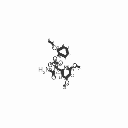 CCOc1ccccc1OS(=O)(=O)N(C(N)=O)c1cc(OC)cc(OC)n1